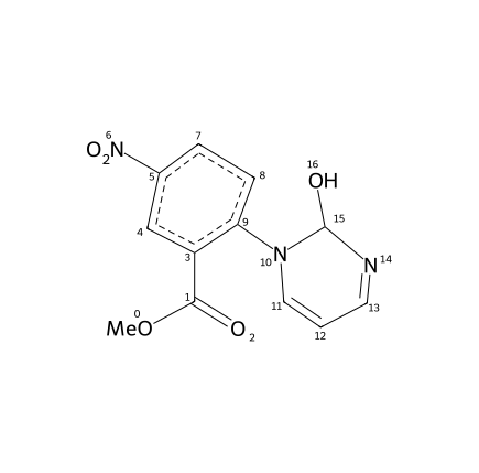 COC(=O)c1cc([N+](=O)[O-])ccc1N1C=CC=NC1O